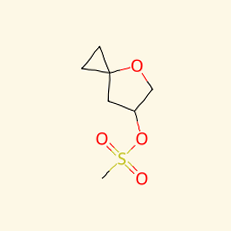 CS(=O)(=O)OC1COC2(CC2)C1